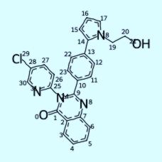 O=c1c2ccccc2nc(-c2ccc(-c3cccn3CCO)cc2)n1-c1ccc(Cl)cn1